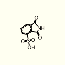 O=C1NC(=O)c2c1cccc2S(=O)(=O)O